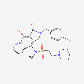 CN(c1c2c(c(O)c3ncccc13)C(=O)N(Cc1ccc(F)cc1)C2)S(=O)(=O)CCN1CCCCC1